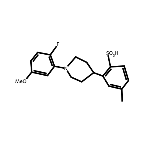 COc1ccc(F)c(N2CCC(c3cc(C)ccc3S(=O)(=O)O)CC2)c1